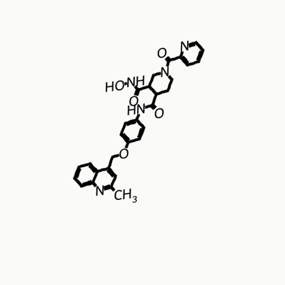 Cc1cc(COc2ccc(NC(=O)C3CCN(C(=O)c4ccccn4)CC3C(=O)NO)cc2)c2ccccc2n1